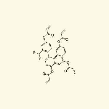 C=CC(=O)Oc1ccc(-c2ccc(OC(=O)C=C)c3cc(OC(=O)C=C)c4ccc(OC(=O)C=C)cc4c23)c(C(F)F)c1